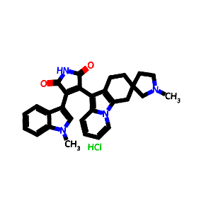 CN1CCC2(CCc3c(C4=C(c5cn(C)c6ccccc56)C(=O)NC4=O)c4ccccn4c3C2)C1.Cl